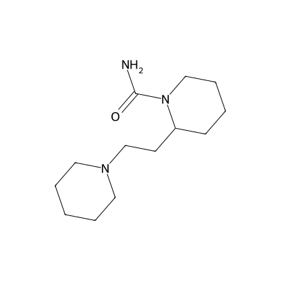 NC(=O)N1CCCCC1CCN1CCCCC1